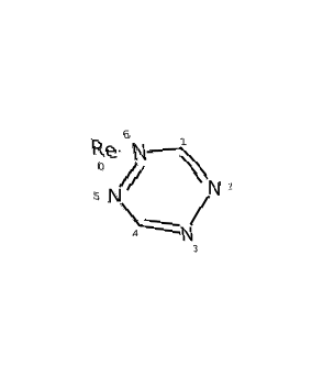 [Re].c1nncnn1